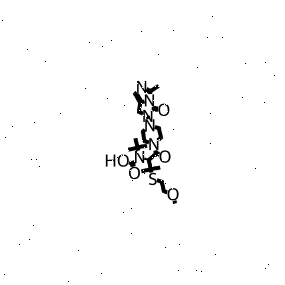 COCCSC(C)(C)[C@H](C(=O)N1CCN(N2Cc3cnc(C)n3C2=O)CC1)N(C(=O)O)C(C)(C)C